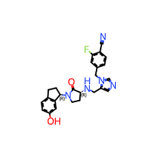 N#Cc1ccc(Cn2cncc2CN[C@@H]2CCN([C@@H]3CCc4ccc(O)cc43)C2=O)cc1F